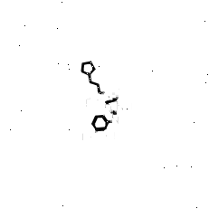 Cc1ccc2c(nc3n2C(NC(=O)CCC2CCCC2)(C(F)(F)F)C(=O)N3)c1C